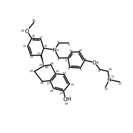 CCN(Cc1ccc(OCCN(C)C)cc1)C1C=C(OC)C=CC1[C@@H]1CCc2cc(O)ccc2C1